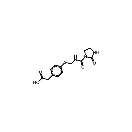 O=C(O)Cc1ccc(SCNC(=O)N2CCNC2=O)cc1